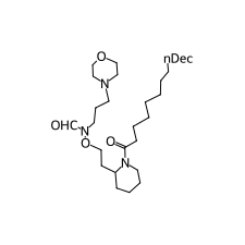 CCCCCCCCCCCCCCCCCC(=O)N1CCCCC1CCON(C=O)CCCN1CCOCC1